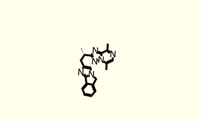 Cc1ncc(C)n2nc([C@@H](C)Cc3cn4c(n3)-c3ccccc3C4)nc12